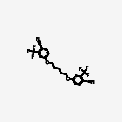 N#Cc1ccc(OCCCCCOc2ccc(C#N)c(C(F)(F)F)c2)cc1C(F)(F)F